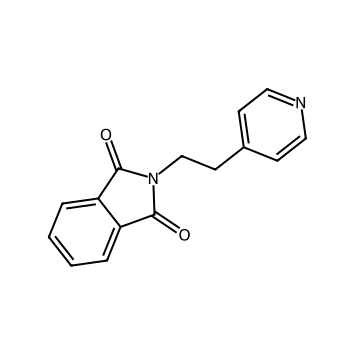 O=C1c2ccccc2C(=O)N1CCc1ccncc1